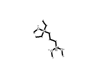 CC[Si](CC)(CCC[SiH](OC)OC)OC